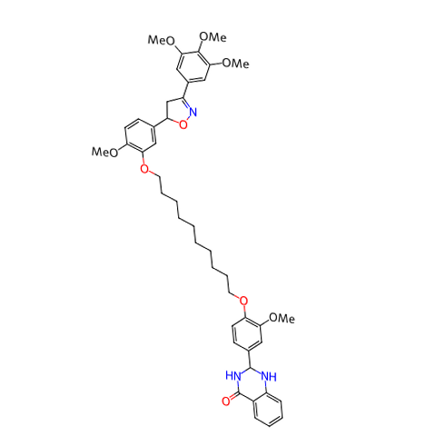 COc1cc(C2NC(=O)c3ccccc3N2)ccc1OCCCCCCCCCCOc1cc(C2CC(c3cc(OC)c(OC)c(OC)c3)=NO2)ccc1OC